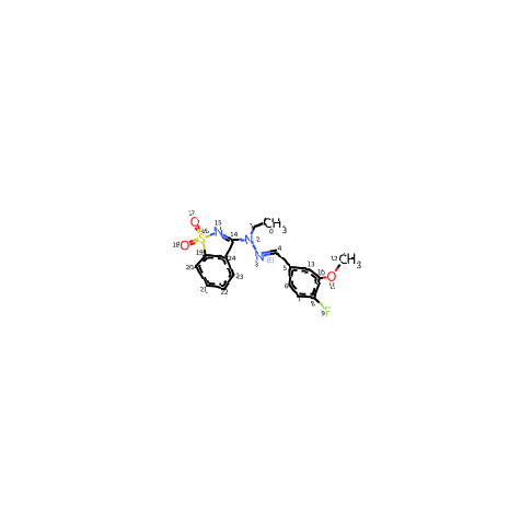 CCN(/N=C/c1ccc(F)c(OC)c1)C1=NS(=O)(=O)c2ccccc21